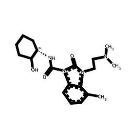 Cc1cccc2c1n(CCN(C)C)c(=O)n2C(=O)N[C@H]1CCCCC1O